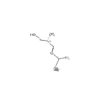 CC(C)COC(C)OC[C@@H](C)CO